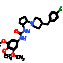 COc1cc(NC(=O)NC2CCCC2N2CCC(Cc3ccc(Cl)cc3)CC2)cc(OC)c1OC